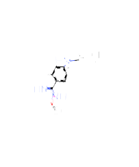 CCONC(=N)c1ccc(NCC(=O)O)cc1